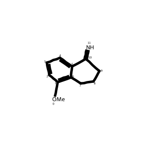 COc1cccc2c1CCCC2=N